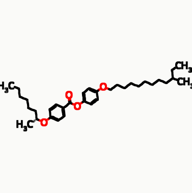 CCCCCC[C@@H](C)Oc1ccc(C(=O)Oc2ccc(OCCCCCCCCCC(C)CC)cc2)cc1